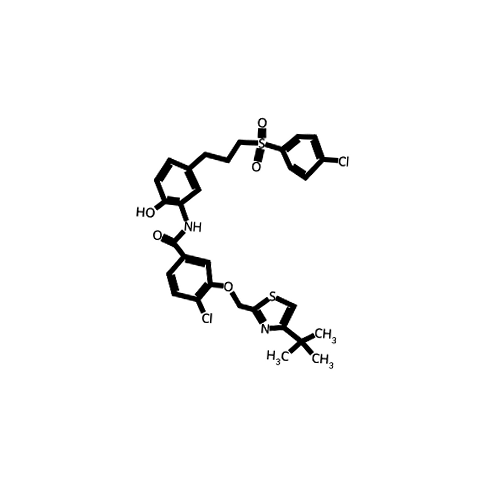 CC(C)(C)c1csc(COc2cc(C(=O)Nc3cc(CCCS(=O)(=O)c4ccc(Cl)cc4)ccc3O)ccc2Cl)n1